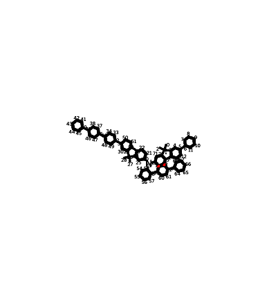 CC1(C)c2cc(-c3ccccc3)ccc2-c2ccc(N(c3ccc4c(c3)C(C)(C)c3cc(-c5ccc(-c6ccc(-c7ccccc7)cc6)cc5)ccc3-4)c3ccccc3-c3ccc(-c4ccccc4)cc3)cc21